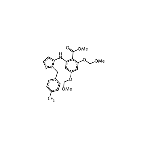 COCOc1cc(Nc2ccnn2Cc2ccc(C(F)(F)F)cc2)c(C(=O)OC)c(OCOC)c1